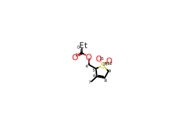 CCC(=O)OCC1C(C)=CCS1(=O)=O